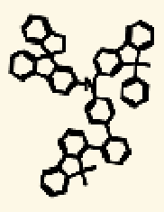 CC1(C)c2ccccc2-c2cccc(-c3ccccc3-c3ccc(N(c4ccc5c(c4)C(C)(c4ccccc4)c4ccccc4-5)c4ccc5c(c4)C4(CCc6ccccc64)c4ccccc4-5)cc3)c21